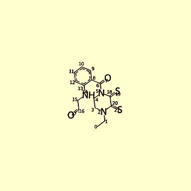 CCN1CCN(C(=O)c2ccccc2NC[C]=O)C(=S)C1=S